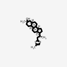 Cc1cnc(C[C@H](C)C2CC[C@H]3[C@@H]4CC[C@@H]5C[C@](C)(O)CC[C@@H]5[C@H]4CC[C@]23C)s1